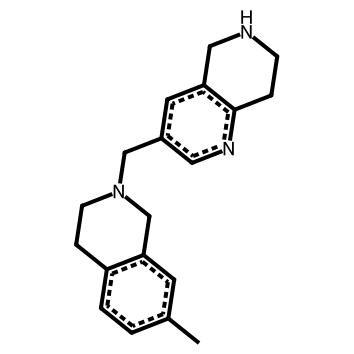 Cc1ccc2c(c1)CN(Cc1cnc3c(c1)CNCC3)CC2